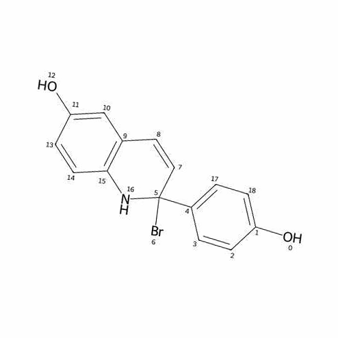 Oc1ccc(C2(Br)C=Cc3cc(O)ccc3N2)cc1